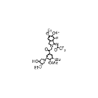 CCOc1cc2c(c(F)c1OCC)C(=NC(=O)C(F)(F)F)N(CC(=O)c1cc(N3C[C@H](OCC)[C@@H](O)C3)c(OC)c(C(C)(C)C)c1)C2